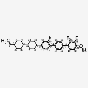 C=CC1CCC(C2CCC(c3ccc(-c4ccc(-c5ccc(OCC)c(F)c5F)cc4)c(F)c3)CC2)CC1